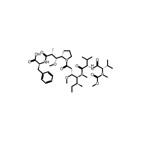 CC[C@H](C)[C@@H]([C@@H](CC(=O)N1CCC[C@H]1[C@H](OC)[C@@H](C)C(=O)N[C@@H](Cc1ccccc1)C(=O)O)OC)N(C)C(=O)[C@@H](NC(=O)[C@H](C(C)C)N(C)C(=O)OC)C(C)C